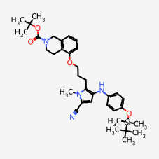 Cn1c(C#N)cc(Nc2ccc(O[Si](C)(C)C(C)(C)C)cc2)c1CCCOc1cccc2c1CCN(C(=O)OC(C)(C)C)C2